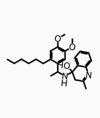 CCCCCCc1cc(OC)c(OC)cc1C(C)NC1(O)CC(C)=Nc2ccccc21